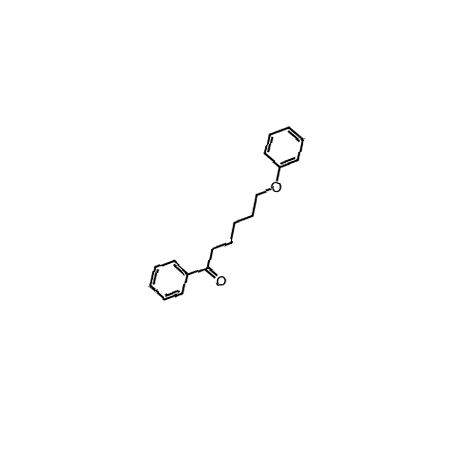 O=C(CCCCCOc1ccccc1)c1ccccc1